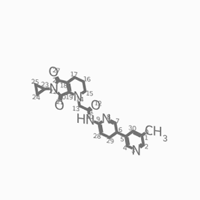 Cc1cncc(C2C=NC(NC(=O)CN3CCCC4=C3C(=O)N(C3CC3)C4=O)=CC2)c1